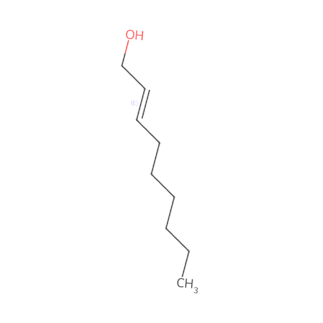 CCCCCC/C=C/CO